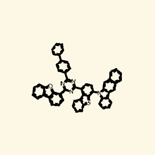 c1ccc(-c2ccc(-c3nc(-c4cccc5c4oc4ccccc45)nc(-c4ccc(-n5c6ccccc6c6cc7ccccc7cc65)c5sc6ccccc6c45)n3)cc2)cc1